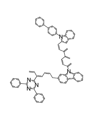 C=C/C(=C\C=C/Cc1ccc2c3ccccc3n(C(=C)/C=C\C(=C)C(=C)/C=C\c3cc4ccccc4n3-c3ccc(-c4ccccc4)cc3)c2c1)c1nc(-c2ccccc2)nc(-c2ccccc2)n1